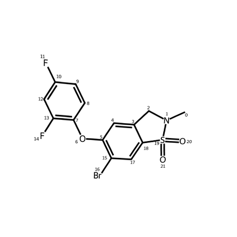 CN1Cc2cc(Oc3ccc(F)cc3F)c(Br)cc2S1(=O)=O